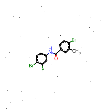 Cc1cc(C(=O)Nc2ccc(Br)c(F)c2)ccc1Br